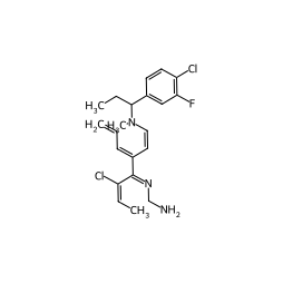 C=C/C=C(\C=C/N(C)C(CC)c1ccc(Cl)c(F)c1)C(=N/CN)/C(Cl)=C\C